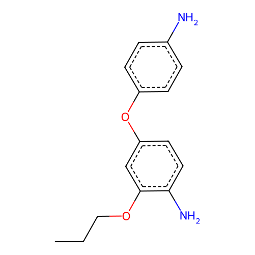 CCCOc1cc(Oc2ccc(N)cc2)ccc1N